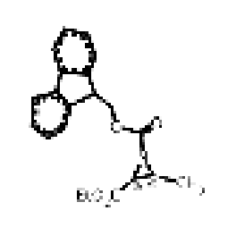 CCOC(=O)[C@@H]1[C@H](C)N1C(=O)OCC1c2ccccc2-c2ccccc21